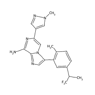 Cc1ccc(C(C)C(F)(F)F)cc1-c1cnc2c(N)nc(-c3cnn(C)c3)cn12